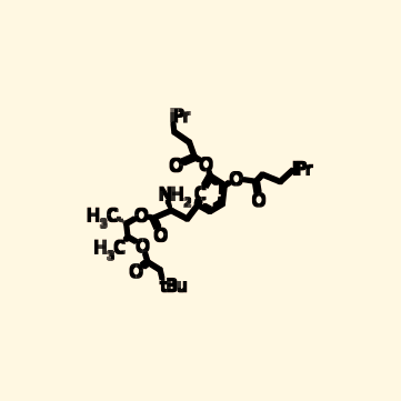 CC(C)CCC(=O)Oc1ccc(C[C@H](N)C(=O)O[C@@H](C)C(C)OC(=O)CC(C)(C)C)cc1OC(=O)CCC(C)C